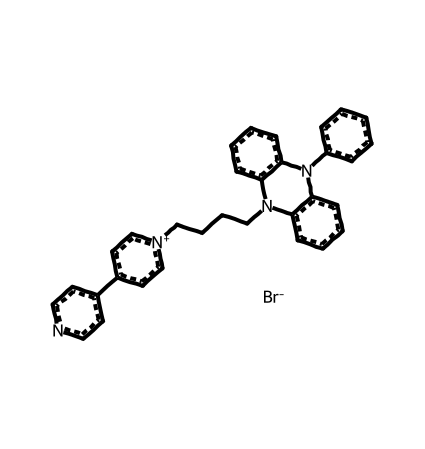 [Br-].c1ccc(N2c3ccccc3N(CCCC[n+]3ccc(-c4ccncc4)cc3)c3ccccc32)cc1